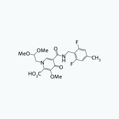 COc1c(C(=O)O)n(CC(OC)OC)cc(C(=O)NCc2c(F)cc(C)cc2F)c1=O